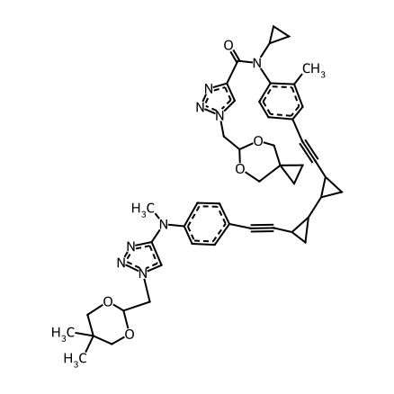 Cc1cc(C#CC2CC2C2CC2C#Cc2ccc(N(C)c3cn(CC4OCC(C)(C)CO4)nn3)cc2)ccc1N(C(=O)c1cn(CC2OCC3(CC3)CO2)nn1)C1CC1